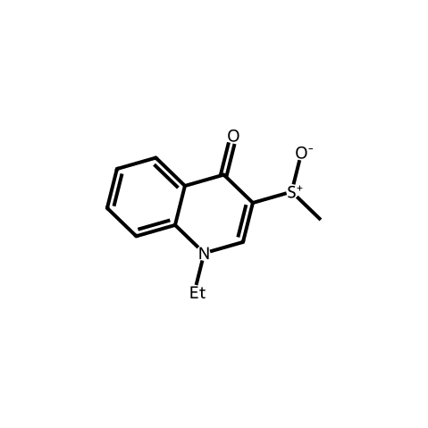 CCn1cc([S+](C)[O-])c(=O)c2ccccc21